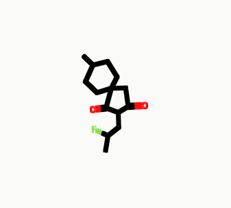 CC(F)CC1C(=O)CC2(CCC(C)CC2)C1=O